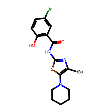 CC(C)(C)c1nc(NC(=O)c2cc(Br)ccc2O)sc1N1CCCCC1